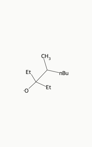 CCCCC(C)C([O])(CC)CC